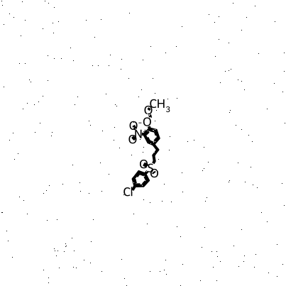 COCOc1ccc(CCCS(=O)(=O)c2ccc(Cl)cc2)cc1[N+](=O)[O-]